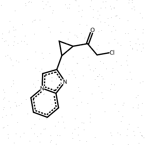 O=C(CCl)C1CC1c1cn2ccccc2n1